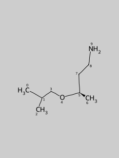 CC(C)CO[C@H](C)CCN